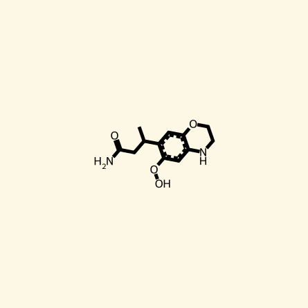 CC(CC(N)=O)c1cc2c(cc1OO)NCCO2